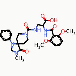 COc1cccc(OC)c1C(=O)NC(CNC(=O)N1CCC2(CC1)C(=O)N(C)CN2c1ccccc1)C(=O)O